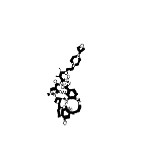 C=C[C@H](OC)[C@@H]1CC[C@H]1CN1Cc2ccc(Cl)cc2CCCCOc2ccc(C(=O)/N=[SH](=O)\C(NC(=O)c3cn(C)nc3OC)[C@@H](C)[C@H](C)OCCN3CCN(C4COC4)CC3)cc21